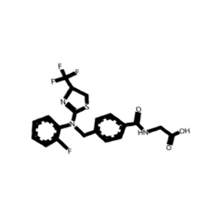 O=C(O)CNC(=O)c1ccc(CN(C2=NC(C(F)(F)F)CS2)c2ccccc2F)cc1